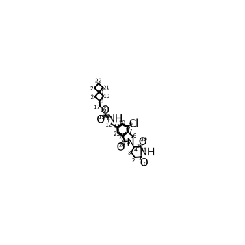 O=C1CCC(N2Cc3c(Cl)cc(CNC(=O)OCC4CC5(CCC5)C4)cc3C2=O)C(=O)N1